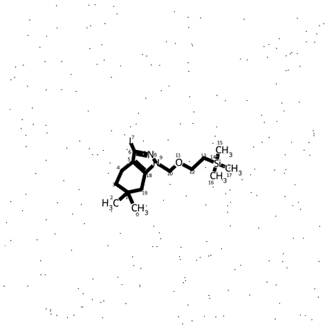 CC1(C)CCc2c(I)nn(COCC[Si](C)(C)C)c2C1